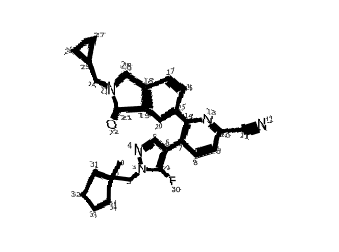 CC1(Cn2ncc(-c3ccc(C#N)nc3-c3ccc4c(c3)C(=O)N(CC3CC3)C4)c2F)CCCC1